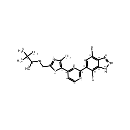 Cc1nc(CNC(O)C(C)(C)C)sc1-c1ccnc(-c2cc(F)c3nn[nH]c3c2F)n1